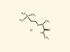 CNC(=O)N(C)OCC[N+](C)(C)C.[Cl-]